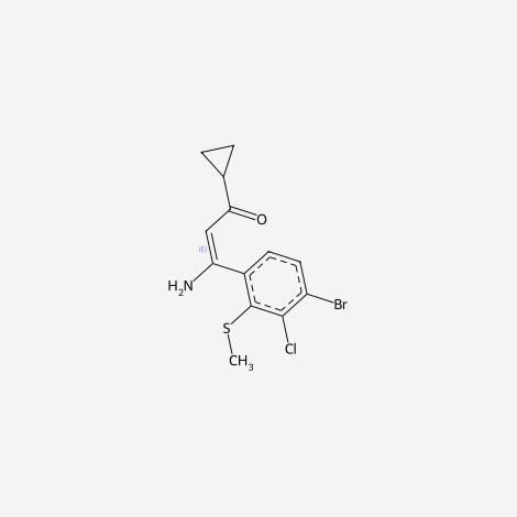 CSc1c(/C(N)=C\C(=O)C2CC2)ccc(Br)c1Cl